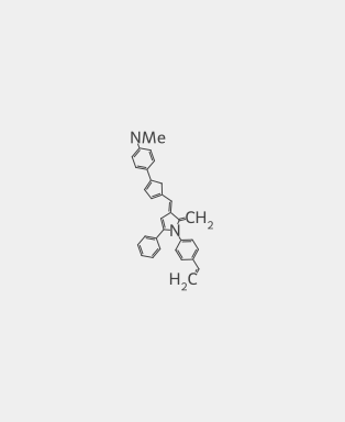 C=Cc1ccc(-n2c(-c3ccccc3)c/c(=C\C3=CC=C(c4ccc(NC)cc4)C3)c2=C)cc1